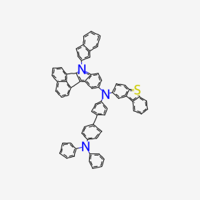 c1ccc(N(c2ccccc2)c2ccc(-c3ccc(N(c4ccc5c(c4)c4c(n5-c5ccc6ccccc6c5)-c5cccc6cccc-4c56)c4ccc5sc6ccccc6c5c4)cc3)cc2)cc1